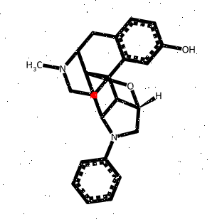 CN1CCC23c4cc(O)ccc4CC1C21CCC2C3[C@@H](CN2c2ccccc2)O1